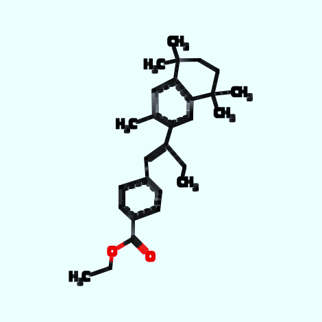 CCOC(=O)c1ccc(C=C(CC)c2cc3c(cc2C)C(C)(C)CCC3(C)C)cc1